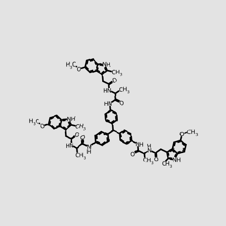 COc1ccc2[nH]c(C)c(CC(=O)NC(C)C(=O)Nc3ccc(C(c4ccc(NC(=O)C(C)NC(=O)Cc5c(C)[nH]c6ccc(OC)cc56)cc4)c4ccc(NC(=O)C(C)NC(=O)Cc5c(C)[nH]c6ccc(OC)cc56)cc4)cc3)c2c1